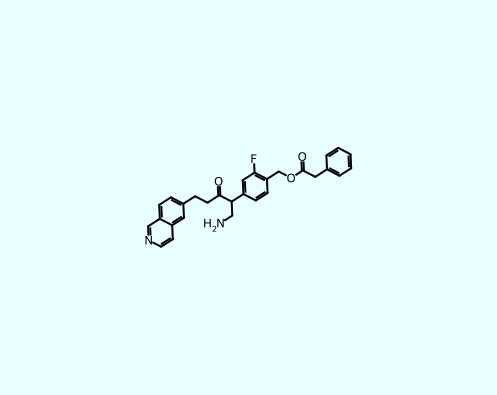 NCC(C(=O)CCc1ccc2cnccc2c1)c1ccc(COC(=O)Cc2ccccc2)c(F)c1